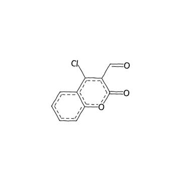 O=Cc1c(Cl)c2ccccc2oc1=O